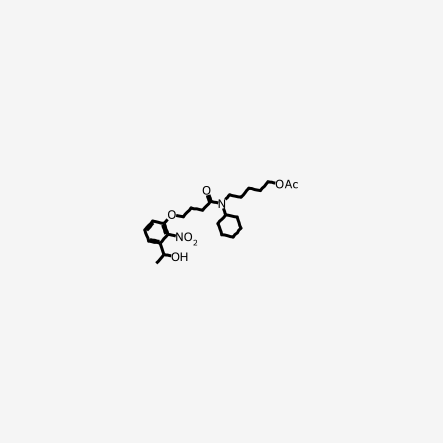 CC(=O)OCCCCCN(C(=O)CCCOc1cccc(C(C)O)c1[N+](=O)[O-])C1CCCCC1